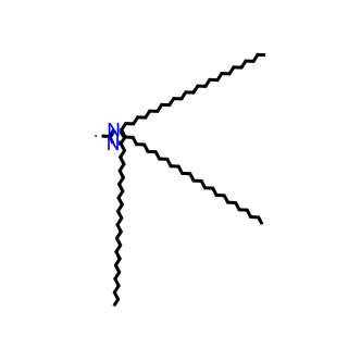 [CH2]c1nc(CCCCCCCCCCCCCCCCCCCCCCCC)c(CCCCCCCCCCCCCCCCCCCCCCCC)c(CCCCCCCCCCCCCCCCCCCCCCCC)n1